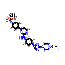 CN1CCN(c2ncn(-c3ccc(Nc4nccc(-c5ccc(NS(C)(=O)=O)cc5)n4)cc3)n2)CC1